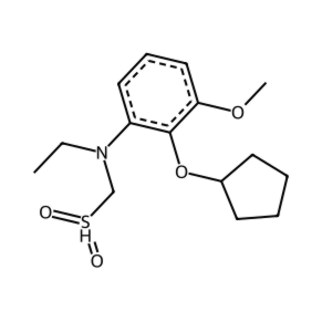 CCN(C[SH](=O)=O)c1cccc(OC)c1OC1CCCC1